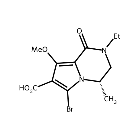 CCN1C[C@H](C)n2c(Br)c(C(=O)O)c(OC)c2C1=O